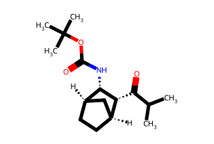 CC(C)C(=O)[C@@H]1[C@H]2CC[C@H](C2)[C@@H]1NC(=O)OC(C)(C)C